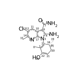 CC1=C(n2c(N)c(C(N)=O)c3cc(Cl)c(C)nc32)[C@H](C)CC=C1O